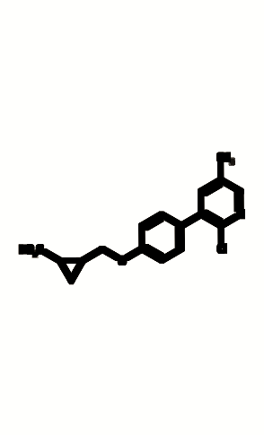 Cc1cnc(Cl)c(-c2ccc(OCC3CC3C(=O)O)cc2)c1